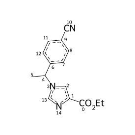 CCOC(=O)c1cn(C(C)c2ccc(C#N)cc2)cn1